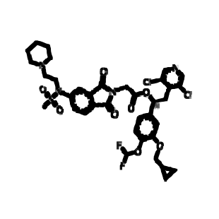 CS(=O)(=O)N(CCN1CCCCC1)c1ccc2c(c1)C(=O)N(CC(=O)O[C@@H](Cc1c(Cl)cncc1Cl)c1ccc(OC(F)F)c(OCC3CC3)c1)C2=O